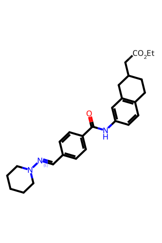 CCOC(=O)CC1CCc2ccc(NC(=O)c3ccc(/C=N/N4CCCCC4)cc3)cc2C1